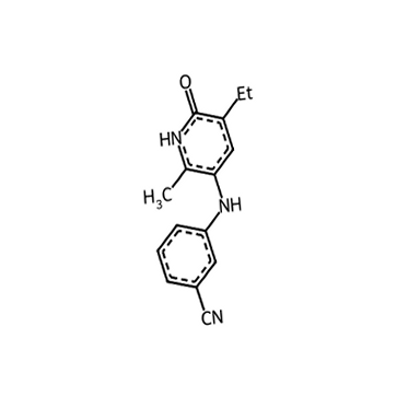 CCc1cc(Nc2cccc(C#N)c2)c(C)[nH]c1=O